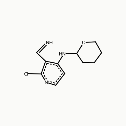 N=Cc1c(NC2CCCCO2)ccnc1Cl